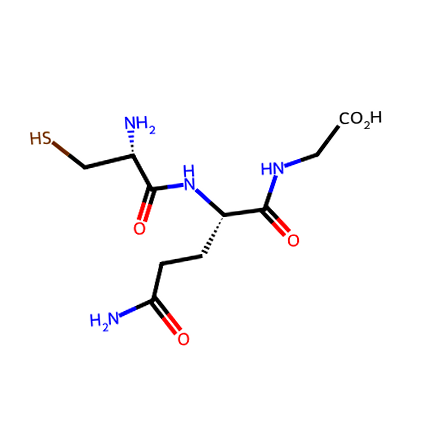 NC(=O)CC[C@H](NC(=O)[C@@H](N)CS)C(=O)NCC(=O)O